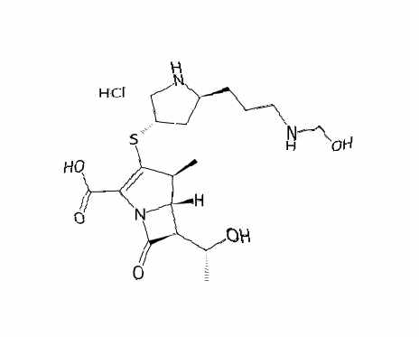 C[C@@H]1C(S[C@@H]2CN[C@@H](CCCNCO)C2)=C(C(=O)O)N2C(=O)[C@H]([C@@H](C)O)[C@@H]12.Cl